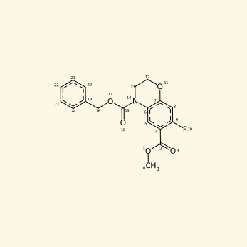 COC(=O)c1cc2c(cc1F)OCCN2C(=O)OCc1ccccc1